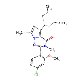 CCCC(CCC)c1cc(C)n2nc(-c3ccc(Cl)cc3OC)n(C)c(=O)c12